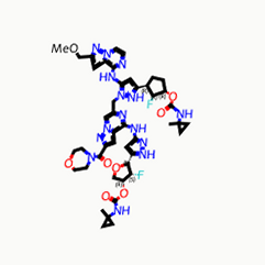 COCc1cc2c(Nc3cc([C@H]4CC[C@@H](OC(=O)NC5(C)CC5)[C@@H]4F)[nH][n+]3Cc3cn4nc(C(=O)N5CCOCC5)cc4c(Nc4cc([C@H]5OC[C@@H](OC(=O)NC6(C)CC6)[C@H]5F)[nH]n4)n3)nccn2n1